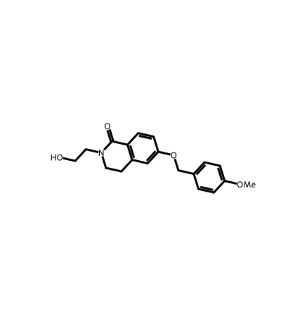 COc1ccc(COc2ccc3c(c2)CCN(CCO)C3=O)cc1